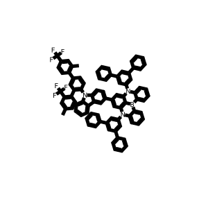 Cc1ccc(-c2cc(-c3ccc(C(F)(F)F)cc3C)ccc2-n2c3ccccc3c3cc(-c4cc5c6c(c4)N(c4cc(-c7ccccc7)cc(-c7ccccc7)c4)c4ccccc4B6c4ccccc4N5c4cc(-c5ccccc5)cc(-c5ccccc5)c4)ccc32)c(C(F)(F)F)c1